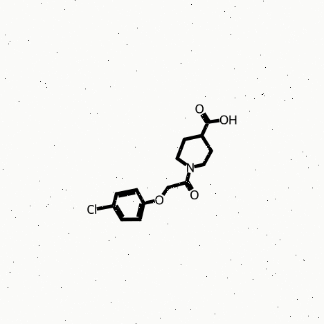 O=C(O)C1CCN(C(=O)COc2ccc(Cl)cc2)CC1